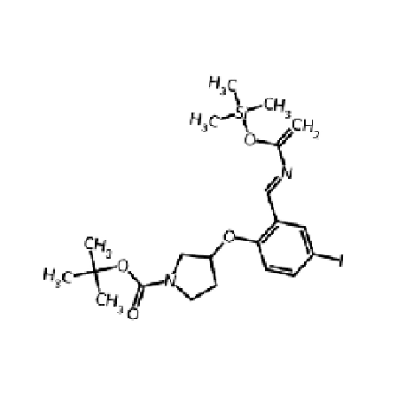 C=C(/N=C/c1cc(I)ccc1OC1CCN(C(=O)OC(C)(C)C)C1)O[Si](C)(C)C